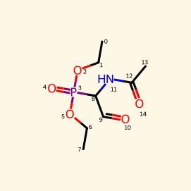 CCOP(=O)(OCC)C(C=O)NC(C)=O